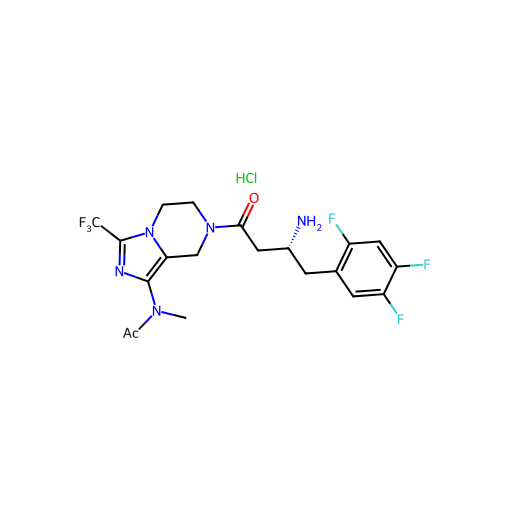 CC(=O)N(C)c1nc(C(F)(F)F)n2c1CN(C(=O)C[C@H](N)Cc1cc(F)c(F)cc1F)CC2.Cl